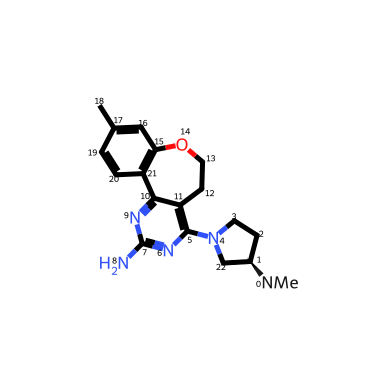 CN[C@@H]1CCN(c2nc(N)nc3c2CCOc2cc(C)ccc2-3)C1